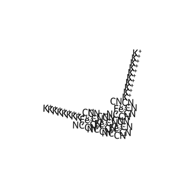 N#[C][Fe-3]([C]#N)([C]#N)([C]#N)([C]#N)[C]#N.N#[C][Fe-3]([C]#N)([C]#N)([C]#N)([C]#N)[C]#N.N#[C][Fe-3]([C]#N)([C]#N)([C]#N)([C]#N)[C]#N.N#[C][Fe-3]([C]#N)([C]#N)([C]#N)([C]#N)[C]#N.[K+].[K+].[K+].[K+].[K+].[K+].[K+].[K+].[K+].[K+].[K+].[K+].[K+].[K+].[K+].[K+].[K+].[K+]